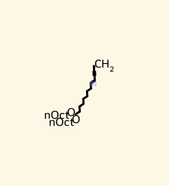 C=CC#C/C=C/CCCCCCCC(OCCCCCCCC)OCCCCCCCC